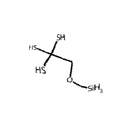 [SiH3]OCC(S)(S)S